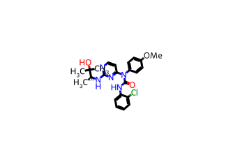 COc1ccc(N(C(=O)Nc2ccccc2Cl)c2ccnc(N[C@@H](C)C(C)(C)O)n2)cc1